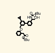 CC(C)(C)OC(=O)Cc1ccccc1OCc1cc(-c2cccc(C(CO)NC(=O)OC(C)(C)C)c2)cc(C2CC2)c1